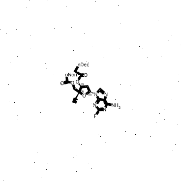 C#C[C@]1(COC(=O)CCCCCCCCC)O[C@@H](n2cnc3c(N)nc(F)nc32)C[C@@H]1OC(=O)CCCCCCCCCCC